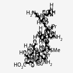 CC[C@H](C)[C@H](NC(=O)[C@@H](CCC(=O)O)NC(=O)[C@@H](CO)NC(=O)[C@H](NC(=O)[C@H](N)CO)C(C)C)C(=O)N[C@H](CCC(N)=O)C(=O)N[C@@H](CC(C)C)C(=O)N[C@H](CCSC)C(=O)N[C@H](Cc1c[nH]cn1)C(=O)N[C@H](CC(N)=O)C(=O)N[C@H](CC(C)C)C(=O)NCC(=O)N[C@H](CCCCN)C(=O)N[C@H](Cc1c[nH]cn1)C(=O)O